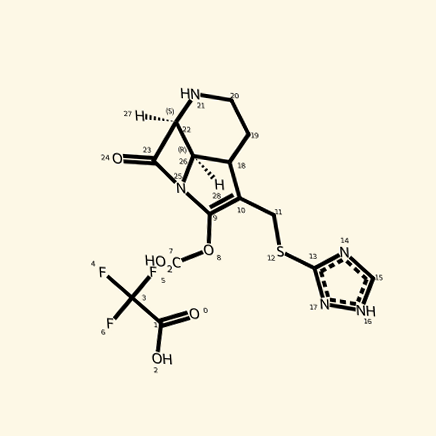 O=C(O)C(F)(F)F.O=C(O)OC1=C(CSc2nc[nH]n2)C2CCN[C@@H]3C(=O)N1[C@H]23